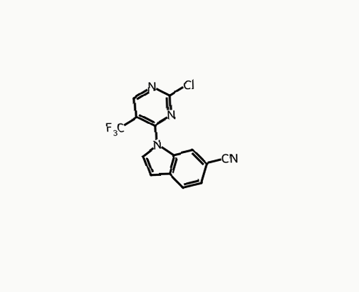 N#Cc1ccc2ccn(-c3nc(Cl)ncc3C(F)(F)F)c2c1